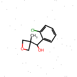 CC1(C(O)c2ccccc2Cl)COC1